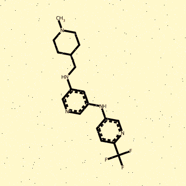 CN1CCC(CNc2cncc(Nc3ccc(C(F)(F)F)nc3)c2)CC1